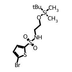 CC(C)(C)[Si](C)(C)OCCNS(=O)(=O)c1ccc(Br)s1